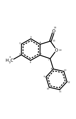 Cc1ccc2c(c1)C(c1ccccc1)OC2=O